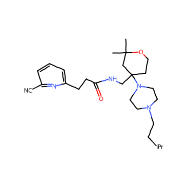 CC(C)CCN1CCN(C2(CNC(=O)CCc3cccc(C#N)n3)CCOC(C)(C)C2)CC1